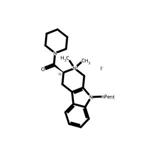 CCCCCn1c2c(c3ccccc31)C[C@@H](C(=O)N1CCCCC1)[N+](C)(C)C2.[I-]